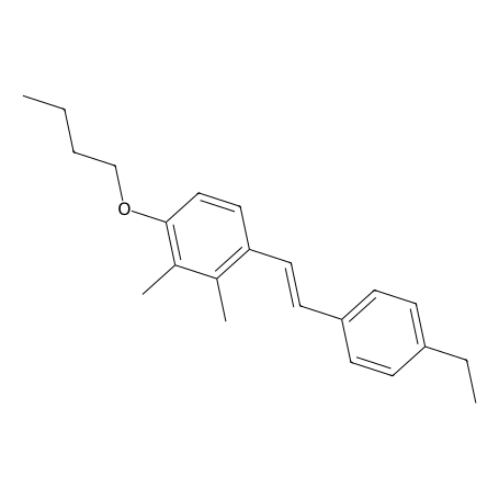 CCCCOc1ccc(C=Cc2ccc(CC)cc2)c(C)c1C